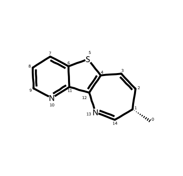 C[C@H]1C=Cc2sc3cccnc3c2N=C1